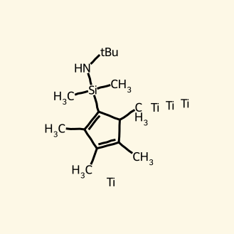 CC1=C(C)C(C)C([Si](C)(C)NC(C)(C)C)=C1C.[Ti].[Ti].[Ti].[Ti]